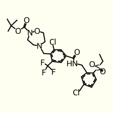 CCS(=O)(=O)c1ccc(Cl)cc1CNC(=O)c1cc(Cl)c(CN2CCON(C(=O)OC(C)(C)C)CC2)c(C(F)(F)F)c1